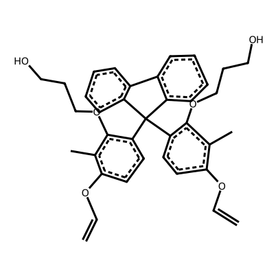 C=COc1ccc(C2(c3ccc(OC=C)c(C)c3OCCCO)c3ccccc3-c3ccccc32)c(OCCCO)c1C